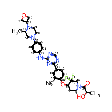 CC(O)C(=O)N1CCC(Oc2ccc(-c3ncnc(Nc4ccc(N5CCN(C6COC6)C(C)C5)cc4)n3)cc2C#N)C(F)(F)C1